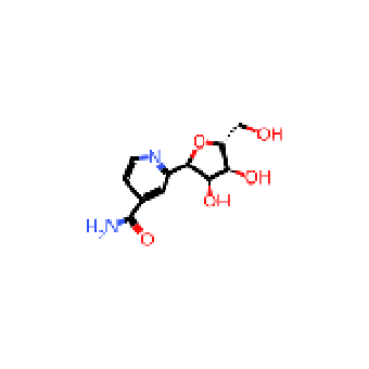 NC(=O)c1ccnc(C2O[C@H](CO)[C@@H](O)[C@H]2O)c1